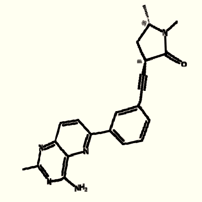 Cc1nc(N)c2nc(-c3cccc(C#C[C@H]4C[C@H](C)N(C)C4=O)c3)ccc2n1